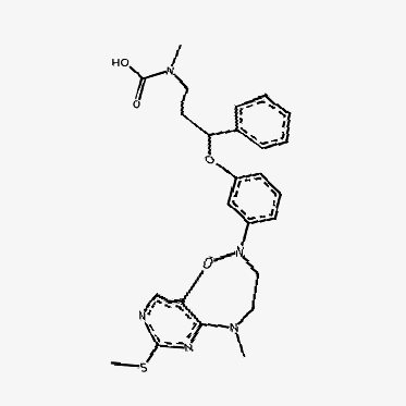 CSc1ncc2c(n1)N(C)CCN(c1cccc(OC(CCN(C)C(=O)O)c3ccccc3)c1)O2